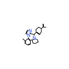 C=C(C)C1CC=C(C(c2nccn2-c2c(C)cccc2C)N2CCCCC2)CC1